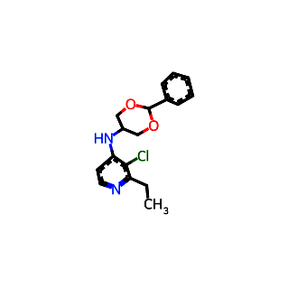 CCc1nccc(NC2COC(c3ccccc3)OC2)c1Cl